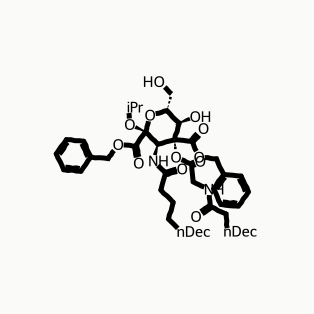 CCCCCCCCCCCCCC(=O)N[C@H]1[C@](OC(C)C)(C(=O)OCc2ccccc2)O[C@H](CO)[C@@H](O)[C@@]1(OC(=O)CNC(=O)CCCCCCCCCCC)C(=O)OCc1ccccc1